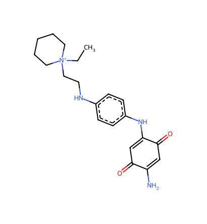 CC[N+]1(CCNc2ccc(NC3=CC(=O)C(N)=CC3=O)cc2)CCCCC1